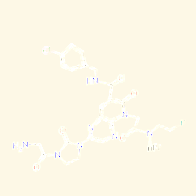 CCCN(CCF)C(=O)Cn1c(=O)c(C(=O)NCc2ccc(Cl)cc2)cc2nc(N3CCN(C(=O)CN)C3=O)cnc21